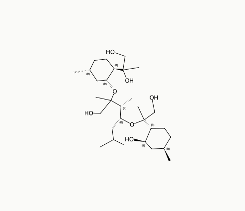 CC(C)C[C@@H](OC(C)(CO)[C@@H]1CC[C@@H](C)C[C@H]1O)[C@@H](C)C(C)(CO)O[C@@H]1C[C@H](C)CC[C@H]1C(C)(O)CO